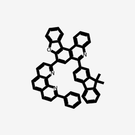 CC1(C)c2ccccc2-c2ccc(-c3nc4ccccc4c4c3cc(-c3ccc5ccc6ccc(-c7ccccc7)nc6c5n3)c3oc5ccccc5c34)cc21